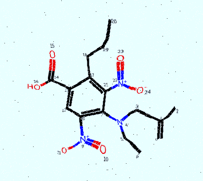 C=C(C)CN(CC)c1c([N+](=O)[O-])cc(C(=O)O)c(CCC)c1[N+](=O)[O-]